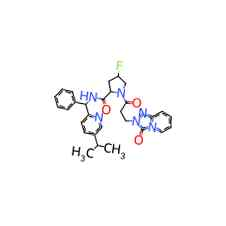 CC(C)c1ccc(C(NC(=O)C2CC(F)CN2C(=O)CCn2nc3ccccn3c2=O)c2ccccc2)nc1